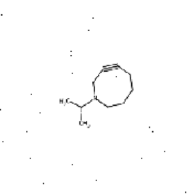 CC(C)N1CC#CCCCC1